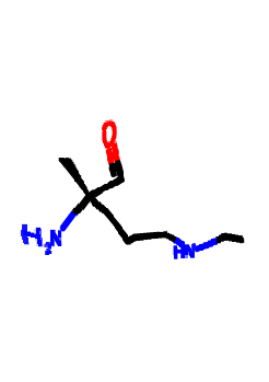 CNCC[C@](C)(N)C=O